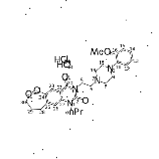 CCCn1c(=O)n(CCN2CCN(c3ccccc3OC)CC2)c(=O)c2cc3c(cc21)CCCOO3.Cl.Cl